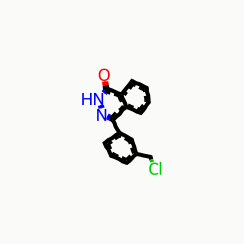 O=c1[nH]nc(-c2cccc(CCl)c2)c2ccccc12